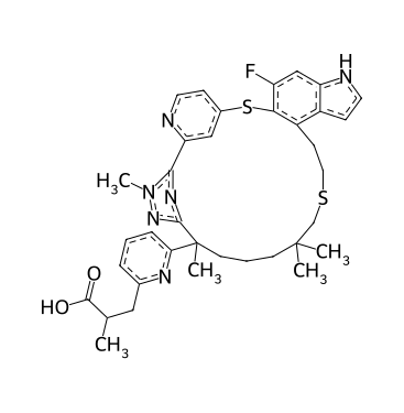 CC(Cc1cccc(C2(C)CCCC(C)(C)CSCCc3c(c(F)cc4[nH]ccc34)Sc3ccnc(c3)-c3nc2nn3C)n1)C(=O)O